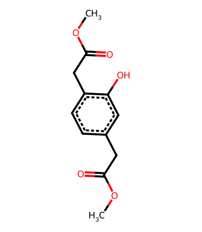 COC(=O)Cc1ccc(CC(=O)OC)c(O)c1